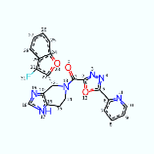 O=C(c1nnc(-c2ccccn2)o1)N1CCc2[nH]cnc2[C@@H]1c1oc2ccccc2c1F